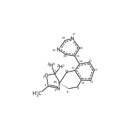 [2H]C1([2H])OC(C)=N[C@@]12CCc1cccc(-c3cncnc3)c1C2